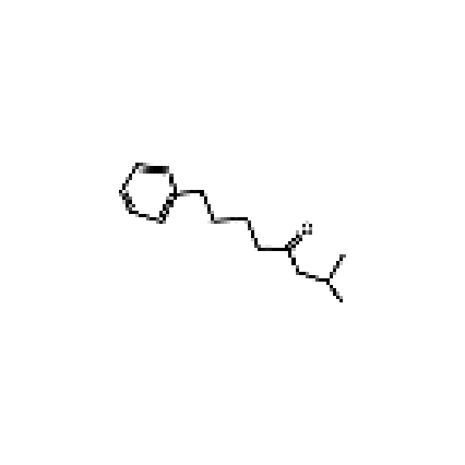 CC(C)CC(=O)CC[CH]Cc1ccccc1